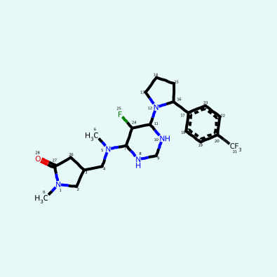 CN1CC(CN(C)C2NCNC(N3CCCC3c3ccc(C(F)(F)F)cc3)C2F)CC1=O